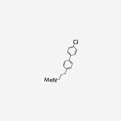 CNCCCc1ccc(-c2ccc(Cl)cc2)cc1